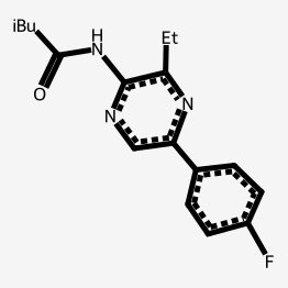 CCc1nc(-c2ccc(F)cc2)cnc1NC(=O)C(C)CC